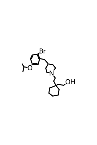 CC(C)Oc1ccc(Br)c(CC2CCN(CCC3(CCO)CCCCC3)CC2)c1